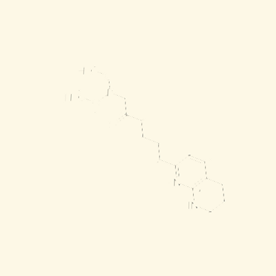 COP(CC(=O)CCCCc1ccc2c(n1)NCCC2)OC